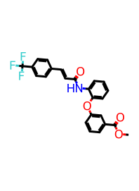 COC(=O)c1cccc(Oc2ccccc2NC(=O)/C=C/c2ccc(C(F)(F)F)cc2)c1